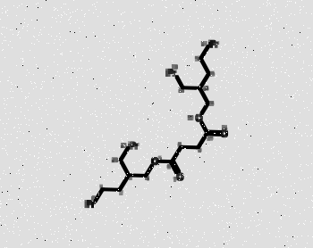 CC(C)CCC(COC(=O)CCC(=O)OCC(CCC(C)C)CC(C)C)CC(C)C